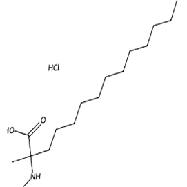 CCCCCCCCCCCCC(C)(NC)C(=O)O.Cl